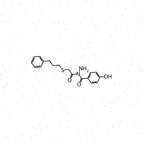 NN(C(=O)CSCCCc1ccccc1)C(=O)c1ccc(O)cc1